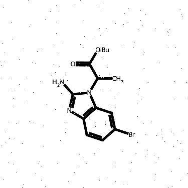 CC(C)COC(=O)C(C)n1c(N)nc2ccc(Br)cc21